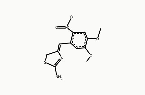 COc1cc(C=C2CSC(N)=N2)c([N+](=O)[O-])cc1OC